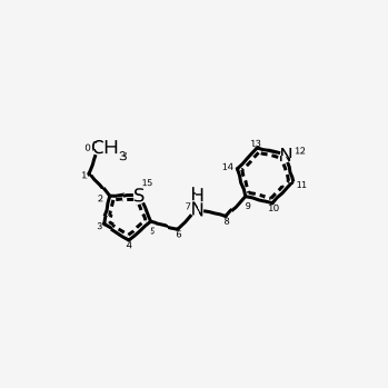 CCc1ccc(CNCc2ccncc2)s1